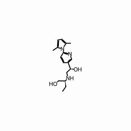 CC[C@@H](CO)NC[C@H](O)c1ccc(-n2c(C)ccc2C)nc1